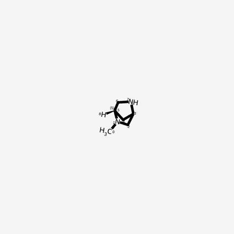 CN1C[C]2C[C@H]1CN2